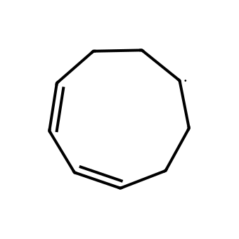 [CH]1CCC=CC=CCC1